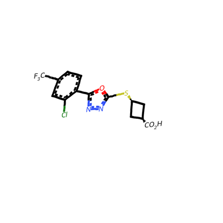 O=C(O)[C@H]1C[C@@H](Sc2nnc(-c3ccc(C(F)(F)F)cc3Cl)o2)C1